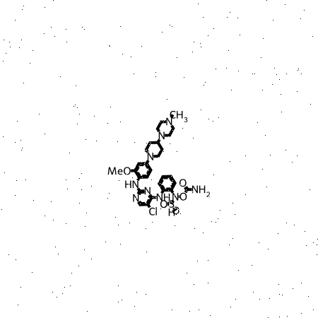 COc1cc(N2CCC(N3CCN(C)CC3)CC2)ccc1Nc1ncc(Cl)c(Nc2ccccc2N(OC(N)=O)[SH](=O)=O)n1